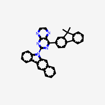 CC1(C)c2ccccc2-c2ccc(-c3nc(-n4c5ccccc5c5cc6ccccc6cc54)nc4nccnc34)cc21